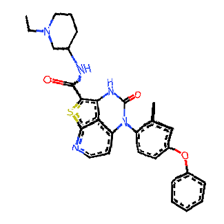 CCN1CCCC(NC(=O)c2sc3nccc4c3c2NC(=O)N4c2ccc(Oc3ccccc3)cc2C)C1